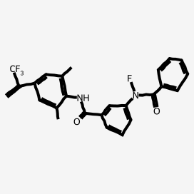 C=C(c1cc(C)c(NC(=O)c2cccc(N(F)C(=O)c3ccccc3)c2)c(C)c1)C(F)(F)F